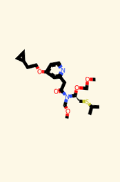 COCO[C@H](CSC(C)C)N(COC)C(=O)Cc1cc(OCCC2CC2)ccn1